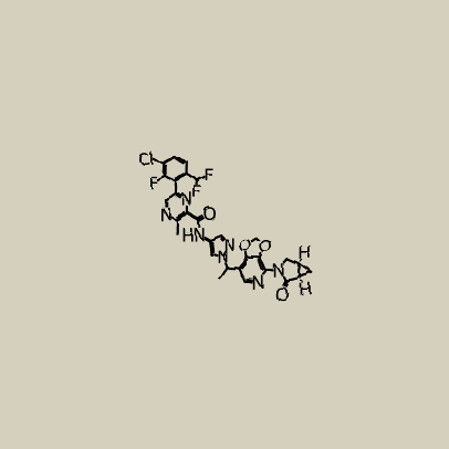 Cc1ncc(-c2c(C(F)F)ccc(Cl)c2F)nc1C(=O)Nc1cnn(C(C)c2cnc(N3C[C@H]4C[C@H]4C3=O)c3c2OCO3)c1